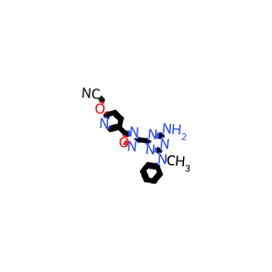 CN(c1ccccc1)c1nc(N)nc(-c2noc(-c3ccc(OCC#N)nc3)n2)n1